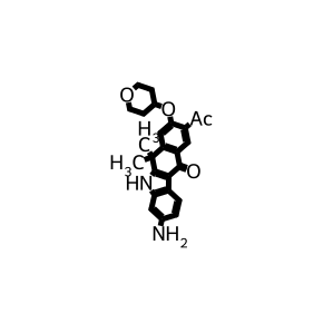 CC(=O)c1cc2c(cc1OC1CCOCC1)C(C)(C)c1[nH]c3cc(N)ccc3c1C2=O